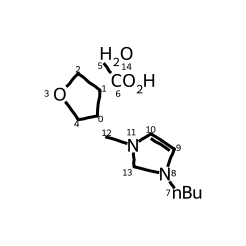 C1CCOC1.CC(=O)O.CCCCN1C=CN(C)C1.O